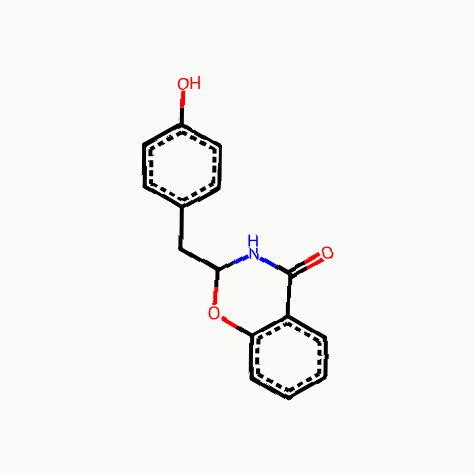 O=C1NC(Cc2ccc(O)cc2)Oc2ccccc21